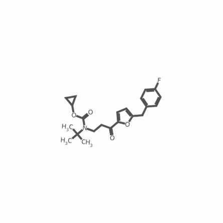 CC(C)(C)N(CCC(=O)c1ccc(Cc2ccc(F)cc2)o1)C(=O)OC1CC1